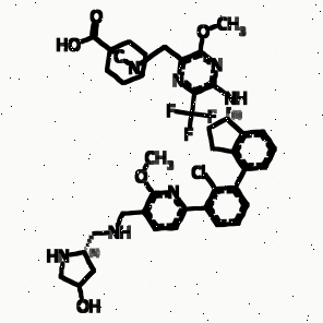 COc1nc(-c2cccc(-c3cccc4c3CC[C@@H]4Nc3nc(OC)c(CN4CC5(C(=O)O)CCC4CC5)nc3C(F)(F)F)c2Cl)ccc1CNC[C@@H]1CC(O)CN1